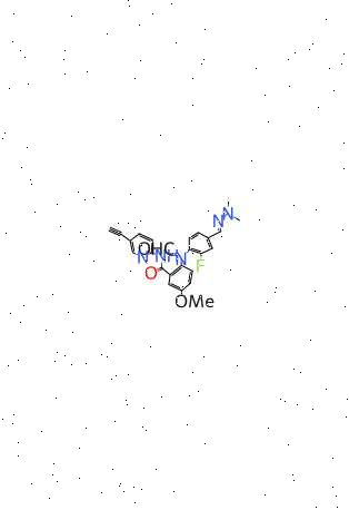 C#Cc1ccc(NC(=O)c2cc(OC)ccc2N(C=O)c2ccc(C=NN(C)C)cc2F)nc1